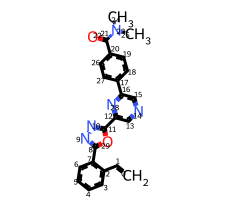 C=Cc1ccccc1-c1nnc(-c2cncc(-c3ccc(C(=O)N(C)C)cc3)n2)o1